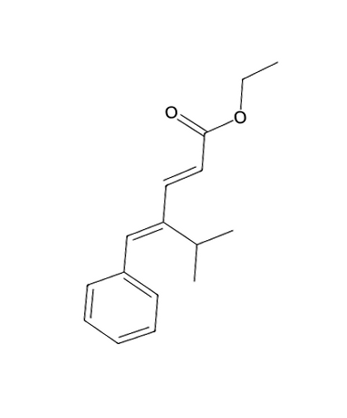 CCOC(=O)/C=C/C(=C/c1ccccc1)C(C)C